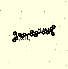 CC1(C)C2=CC(/C=C/c3ccc4c5cccc6c(/C=C/c7ccc8c(c7)C(C)(C)c7cc(N(c9ccccc9)c9ccc%10ccccc%10c9)ccc7-8)ccc(c7cccc3c74)c65)CC=C2c2ccc(N(c3ccccc3)c3ccc4ccccc4c3)cc21